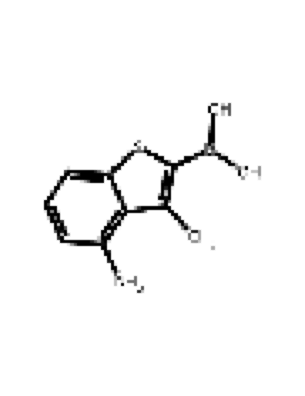 Cc1c(B(O)O)sc2cccc(N)c12